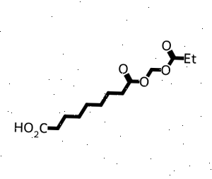 CCC(=O)OCOC(=O)CCCCCCCC(=O)O